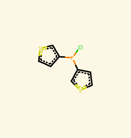 ClP(c1ccsc1)c1ccsc1